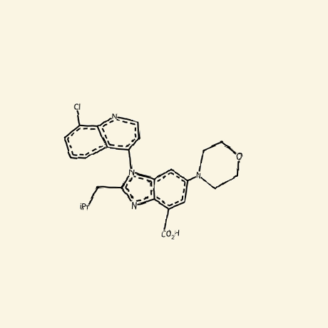 CC(C)Cc1nc2c(C(=O)O)cc(N3CCOCC3)cc2n1-c1ccnc2c(Cl)cccc12